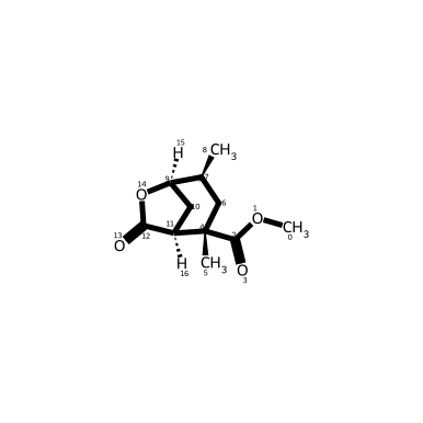 COC(=O)[C@@]1(C)C[C@H](C)[C@H]2C[C@@H]1C(=O)O2